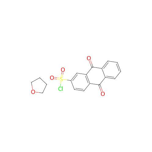 C1CCOC1.O=C1c2ccccc2C(=O)c2cc(S(=O)(=O)Cl)ccc21